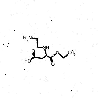 CCOC(=O)C(CC(=O)O)NCCN